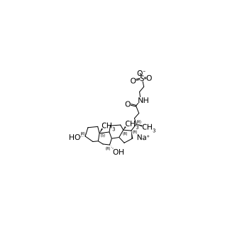 C[C@H](CCC(=O)NCCS(=O)(=O)[O-])[C@H]1CCC2C3C(CC[C@@]21C)[C@@]1(C)CC[C@@H](O)CC1C[C@H]3O.[Na+]